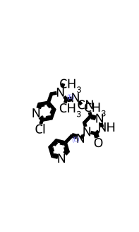 C/C(=N\C#N)N(C)Cc1ccc(Cl)nc1.CC1=NNC(=O)N(/N=C/c2cccnc2)C1